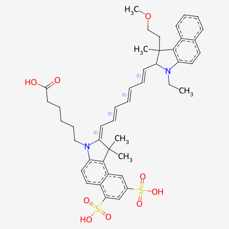 CCN1c2ccc3ccccc3c2C(C)(CCOC)C1/C=C/C=C/C=C/C=C1/N(CCCCCC(=O)O)c2ccc3c(S(=O)(=O)O)cc(S(=O)(=O)O)cc3c2C1(C)C